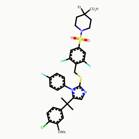 CCC1(C(=O)O)CCN(S(=O)(=O)c2cc(F)c(CSc3ncc(C(C)(C)c4ccc(Cl)c(OC)c4)n3-c3ccc(F)cc3)c(F)c2)CC1